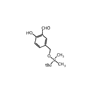 CC(C)(C)[Si](C)(C)OCc1ccc(O)c(C=O)c1